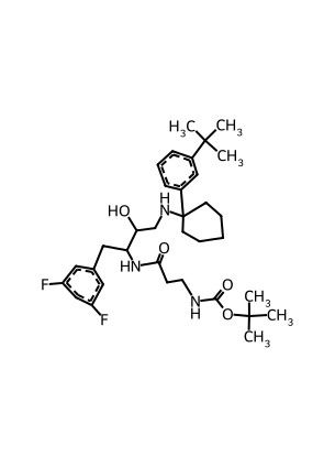 CC(C)(C)OC(=O)NCCC(=O)NC(Cc1cc(F)cc(F)c1)C(O)CNC1(c2cccc(C(C)(C)C)c2)CCCCC1